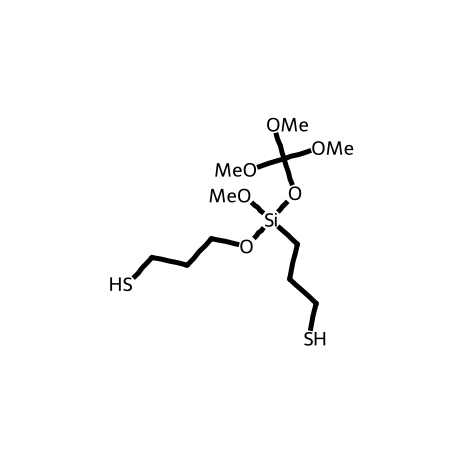 COC(OC)(OC)O[Si](CCCS)(OC)OCCCS